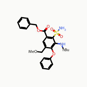 CCCCNc1c(Oc2ccccc2)c(COC)cc(C(=O)OCc2ccccc2)c1S(N)(=O)=O